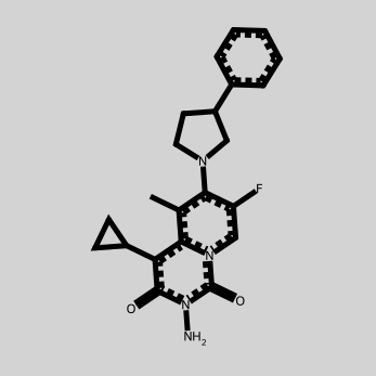 Cc1c(N2CCC(c3ccccc3)C2)c(F)cn2c(=O)n(N)c(=O)c(C3CC3)c12